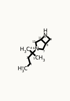 CCCC(C)(C)N1CC2CNC2C1